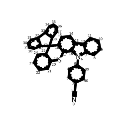 N#Cc1ccc(-n2c3ccccc3c3ccc4c(c32)Sc2ccccc2C42c3ccccc3-c3ccccc32)cc1